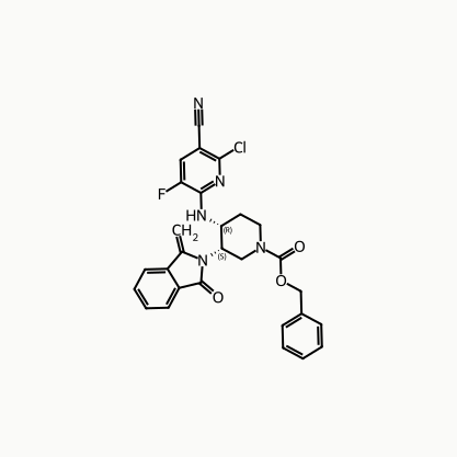 C=C1c2ccccc2C(=O)N1[C@H]1CN(C(=O)OCc2ccccc2)CC[C@H]1Nc1nc(Cl)c(C#N)cc1F